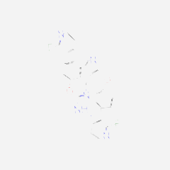 NC1=NC2(c3ccccc3O1)c1cc(-c3cccnc3F)ccc1Oc1cnc(-c3ccnc(F)c3)cc12